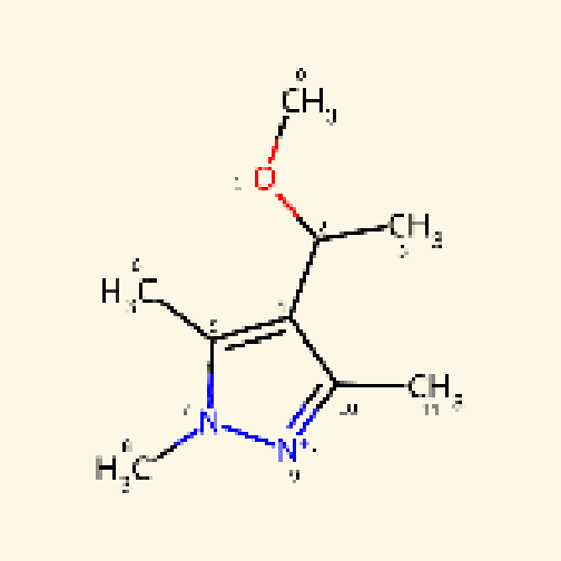 COC(C)C1=C(C)N(C)[N+]=C1C